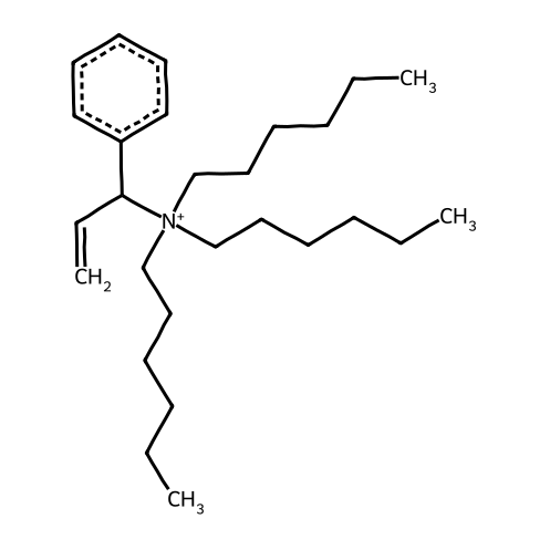 C=CC(c1ccccc1)[N+](CCCCCC)(CCCCCC)CCCCCC